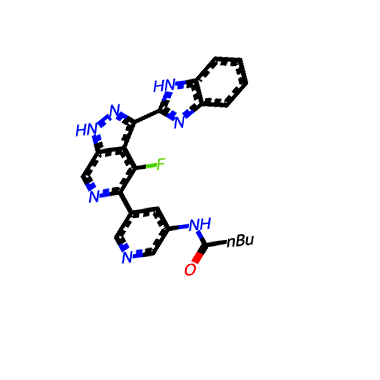 CCCCC(=O)Nc1cncc(-c2ncc3[nH]nc(-c4nc5ccccc5[nH]4)c3c2F)c1